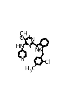 COc1cnc(-c2nn(Cc3ccc(C)cc3Cl)c3ccccc23)nc1Nc1ccncc1